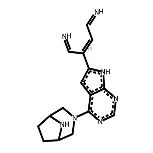 N=C/C=C(\C=N)c1cc2c(N3CC4CCC(C3)N4)ncnc2[nH]1